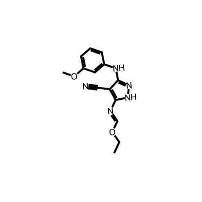 CCO/C=N/c1[nH]nc(Nc2cccc(OC)c2)c1C#N